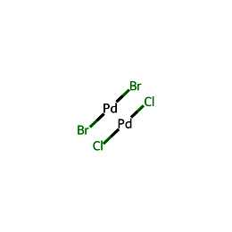 [Br][Pd][Br].[Cl][Pd][Cl]